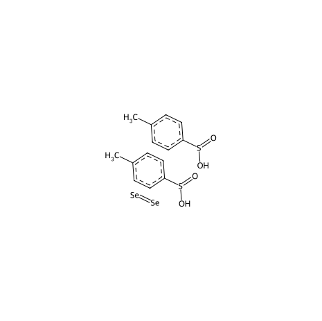 Cc1ccc(S(=O)O)cc1.Cc1ccc(S(=O)O)cc1.[Se]=[Se]